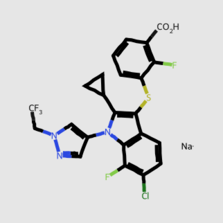 O=C(O)c1cccc(Sc2c(C3CC3)n(-c3cnn(CC(F)(F)F)c3)c3c(F)c(Cl)ccc23)c1F.[Na]